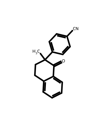 CC1(c2ccc(C#N)cc2)CCc2ccccc2C1=O